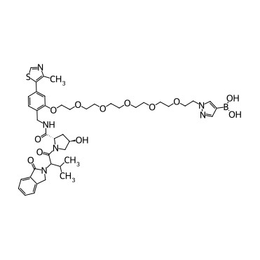 Cc1ncsc1-c1ccc(CNC(=O)[C@@H]2C[C@@H](O)CN2C(=O)C(C(C)C)N2Cc3ccccc3C2=O)c(OCCOCCOCCOCCOCCOCCn2cc(B(O)O)cn2)c1